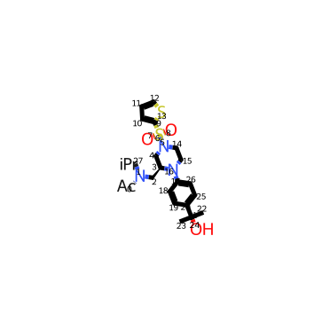 CC(=O)N(C[C@H]1CN(S(=O)(=O)c2cccs2)CCN1c1ccc(C(C)(C)O)cc1)C(C)C